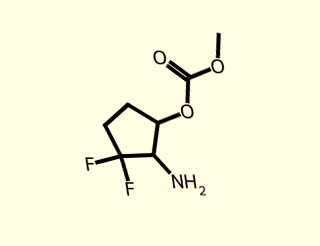 COC(=O)OC1CCC(F)(F)C1N